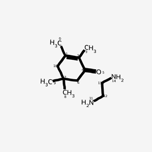 CC1=C(C)C(=O)CC(C)(C)C1.NCCN